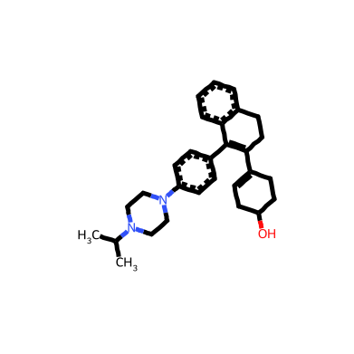 CC(C)N1CCN(c2ccc(C3=C(C4=CCC(O)CC4)CCc4ccccc43)cc2)CC1